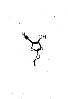 CCOc1nc(O)c(C#N)s1